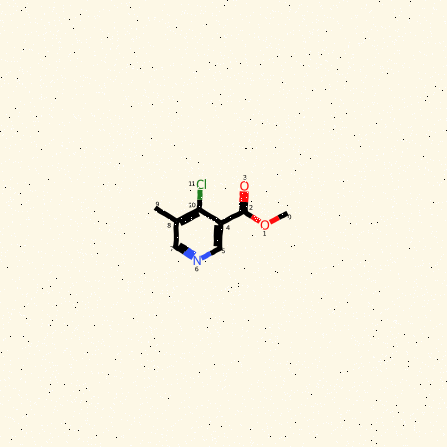 COC(=O)c1cncc(C)c1Cl